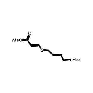 CCCCCCCCCCSC=CC(=O)OC